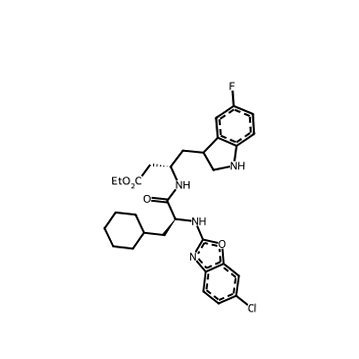 CCOC(=O)C[C@H](CC1CNc2ccc(F)cc21)NC(=O)[C@H](CC1CCCCC1)Nc1nc2ccc(Cl)cc2o1